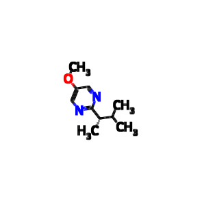 COc1cnc([C@@H](C)C(C)C)nc1